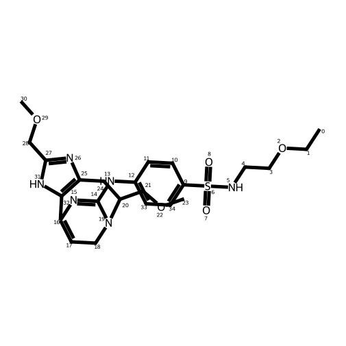 CCOCCNS(=O)(=O)c1ccc(NC2=NC3=CCN2C(COC)Cc2nc(COC)[nH]c23)cc1